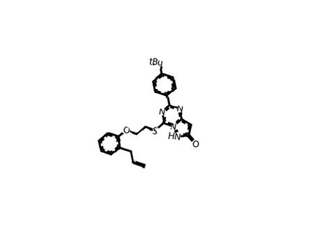 C=CCc1ccccc1OCCSc1nc(-c2ccc(C(C)(C)C)cc2)nc2cc(=O)[nH]n12